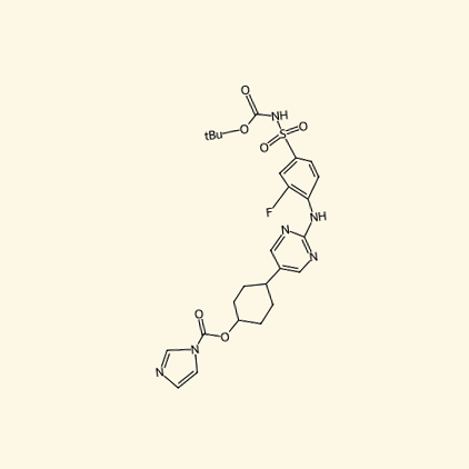 CC(C)(C)OC(=O)NS(=O)(=O)c1ccc(Nc2ncc(C3CCC(OC(=O)n4ccnc4)CC3)cn2)c(F)c1